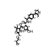 Cc1ncsc1-c1ccc(C(C)NC(=O)[C@@H]2C[C@@H](O)CN2C(=O)C(NC(=O)COCCBr)C(C)(C)C)cc1